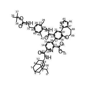 CCC12CC3CC(C1)CC(NC(=O)c1ccc(-c4cc5c(cc4C(=O)Nc4c(C)cc(CNC(=O)OC(C)(C)C)cc4C)-c4sccc4CCO5)c(C(=O)OC)n1)(C3)C2